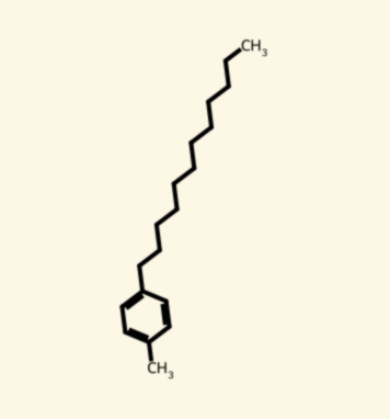 CCCCCCCCCCCCc1ccc(C)cc1